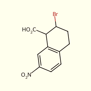 O=C(O)C1c2cc([N+](=O)[O-])ccc2CCC1Br